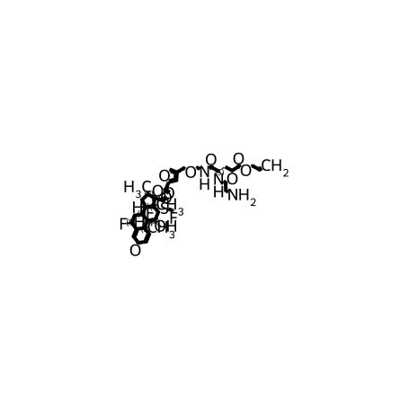 C=CCOC(=O)CC[C@H](NC(=O)CN)C(=O)NCOCc1coc(C(=O)O[C@]2(C(=O)SCF)[C@H](C)C[C@H]3[C@@H]4C[C@H](F)C5=CC(=O)C=C[C@]5(C)[C@@]4(F)[C@@H](O)C[C@@]32C)c1